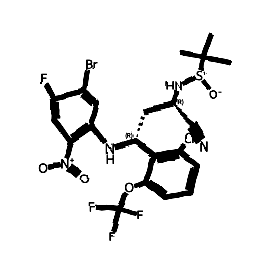 CC(C)(C)[S+]([O-])N[C@@H](C#N)C[C@@H](Nc1cc(Br)c(F)cc1[N+](=O)[O-])c1c(Cl)cccc1OC(F)(F)F